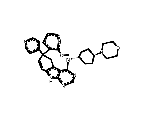 COc1ncccc1C1(c2ccncc2)C=Cc2[nH]c3ncnc(N[C@H]4CC[C@H](N5CCOCC5)CC4)c3c2C1